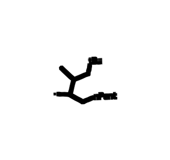 [CH2]C(CCCCCC)C(C)CC(C)(C)C